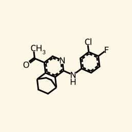 CC(=O)c1cnc(Nc2ccc(F)c(Cl)c2)c2c1C1CCC2CC1